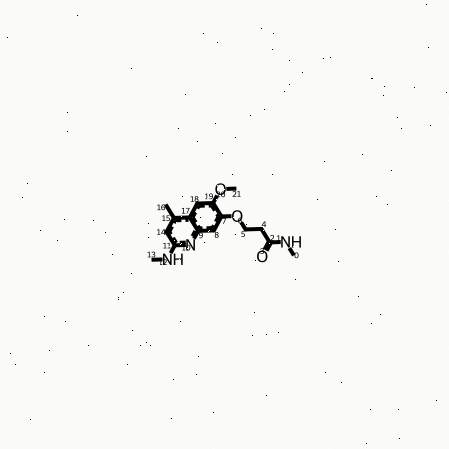 CNC(=O)CCOc1cc2nc(NC)cc(C)c2cc1OC